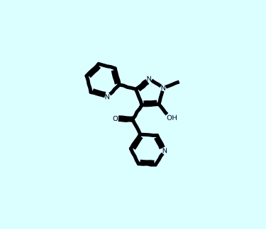 Cn1nc(-c2ccccn2)c(C(=O)c2cccnc2)c1O